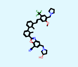 COc1cc(/C=C/c2cccc(-c3cccc(-c4nc5cc(CN6CC[C@@H](O)C6)cc(C#N)c5o4)c3C)c2C)c(C(F)(F)F)cc1CN1CCCC1